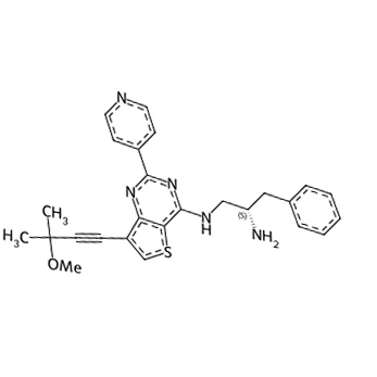 COC(C)(C)C#Cc1csc2c(NC[C@@H](N)Cc3ccccc3)nc(-c3ccncc3)nc12